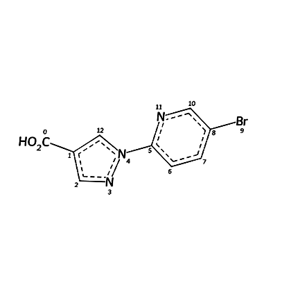 O=C(O)c1cnn(-c2ccc(Br)cn2)c1